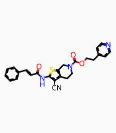 N#Cc1c(NC(=O)/C=C/c2ccccc2)sc2c1CCN(C(=O)OCCc1ccncc1)C2